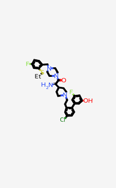 CCSc1cc(F)ccc1CN1CCN(C(=O)[C@H](N)C2CCN(CCc3cc(Cl)ccc3-c3cc(O)cc(F)c3)CC2)CC1